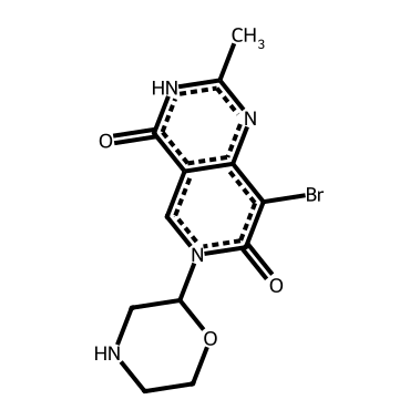 Cc1nc2c(Br)c(=O)n(C3CNCCO3)cc2c(=O)[nH]1